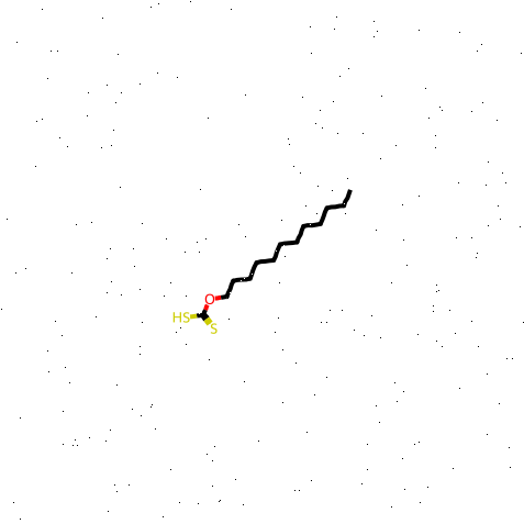 CCCCCCCCCCCCOC(=S)S